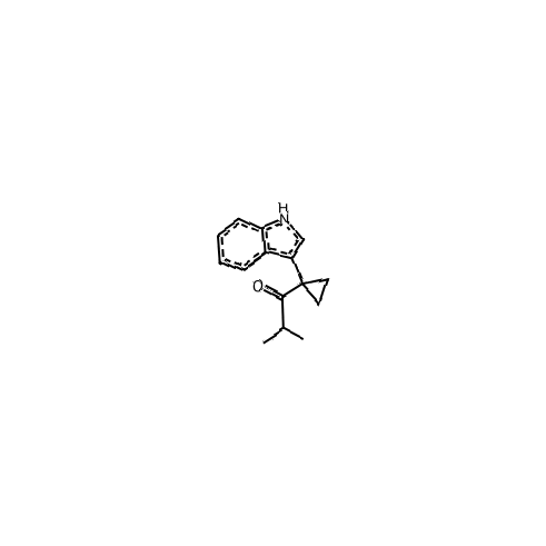 CC(C)C(=O)C1(c2c[nH]c3ccccc23)CC1